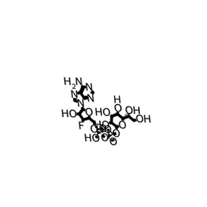 Nc1ncnc2c1ncn2C1OC(COP(=O)(O)OP(=O)(O)OC2OC([C@H](O)CO)C(O)C(O)C2O)C(F)C1O